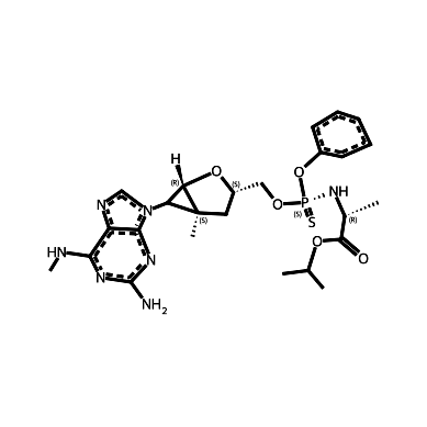 CNc1nc(N)nc2c1ncn2C1[C@@H]2O[C@H](CO[P@@](=S)(N[C@H](C)C(=O)OC(C)C)Oc3ccccc3)C[C@@]12C